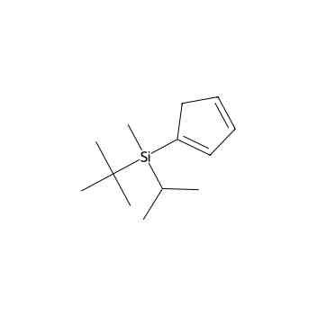 CC(C)[Si](C)(C1=CC=CC1)C(C)(C)C